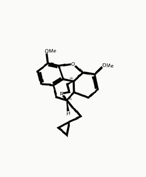 COC1=CCC2[C@@H]3Cc4ccc(OC)c5c4[C@]2(CCN3CC2CC2)C1O5